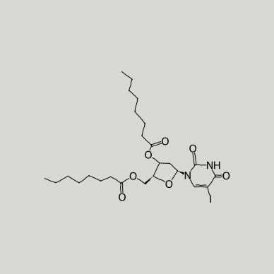 CCCCCCCC(=O)OC[C@@H]1O[C@H](n2cc(I)c(=O)[nH]c2=O)CC1OC(=O)CCCCCCC